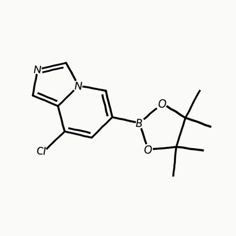 CC1(C)OB(c2cc(Cl)c3cncn3c2)OC1(C)C